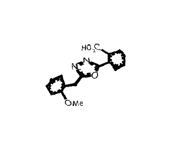 COc1ccccc1Cc1nnc(-c2ccccc2C(=O)O)o1